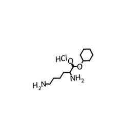 Cl.NCCCCC(N)C(=O)OC1CCCCC1